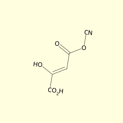 N#COC(=O)C=C(O)C(=O)O